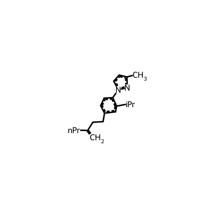 C=C(CCC)CCc1ccc(-n2ccc(C)n2)c(C(C)C)c1